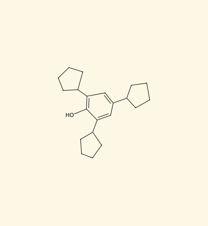 Oc1c(C2CCCC2)cc(C2CCCC2)cc1C1CCCC1